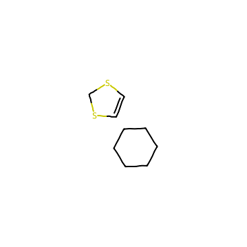 C1=CSCS1.C1CCCCC1